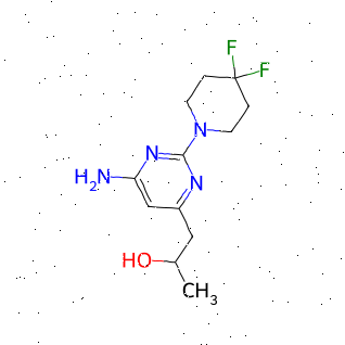 CC(O)Cc1cc(N)nc(N2CCC(F)(F)CC2)n1